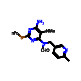 CCCSc1nc(N)c(NC)c(N(C=O)Cc2ccc(C)nc2)n1